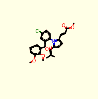 COC(=O)C=Cc1ccc(C=C(C)C)n1-c1ccc(Cl)cc1C(O)c1cccc(OC)c1OC